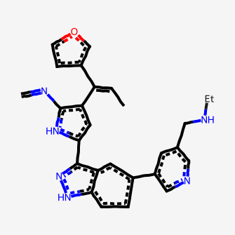 C=Nc1[nH]c(-c2n[nH]c3ccc(-c4cncc(CNCC)c4)cc23)cc1/C(=C\C)c1ccoc1